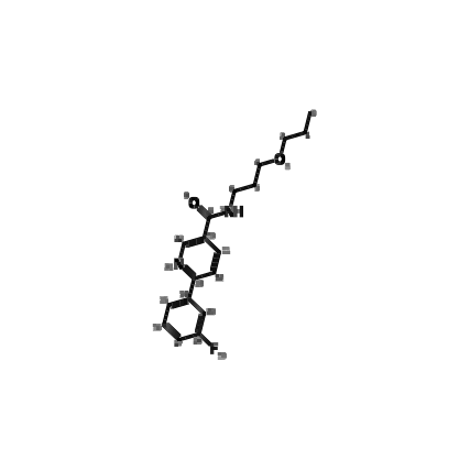 CCCOCCCNC(=O)c1ccc(-c2cccc(F)c2)nc1